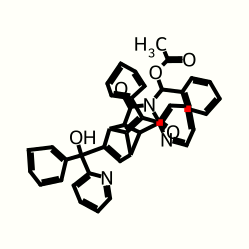 CC(=O)OC(c1ccccc1)N1C(=O)C2C3C=C(C(O)(c4ccccc4)c4ccccn4)C(C3=C(c3ccccc3)c3ccccn3)C2C1=O